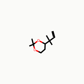 C=CC(C)(C)C1CCOC(C)(C)O1